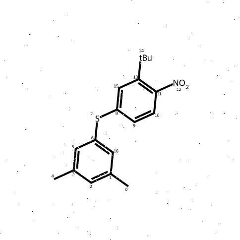 Cc1cc(C)cc(Sc2ccc([N+](=O)[O-])c(C(C)(C)C)c2)c1